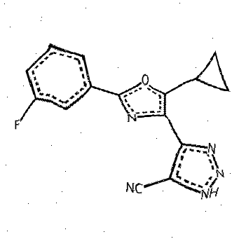 N#Cc1[nH]nnc1-c1nc(-c2cccc(F)c2)oc1C1CC1